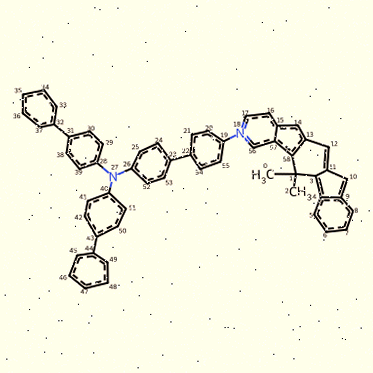 CC1(C)C2=c3ccccc3=CC2=Cc2cc3ccn(-c4ccc(-c5ccc(N(c6ccc(-c7ccccc7)cc6)c6ccc(-c7ccccc7)cc6)cc5)cc4)cc-3c21